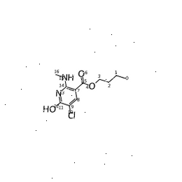 CCCCOC(=O)c1cc(Cl)c(O)nc1NC